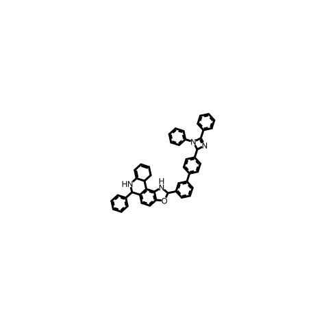 C1=CCC2C(=C1)NC(c1ccccc1)c1ccc3c(c12)NC(c1cccc(-c2ccc(C4N=C(c5ccccc5)N4c4ccccc4)cc2)c1)O3